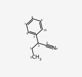 CC[C](C#N)c1ccccc1